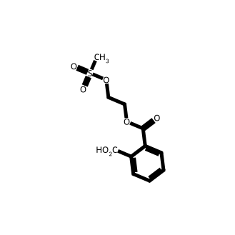 CS(=O)(=O)OCCOC(=O)c1ccccc1C(=O)O